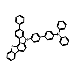 c1ccc(-c2ccc3c4c5sc6ccccc6c5ccc4n(-c4ccc(-c5ccc(N(c6ccccc6)c6ccccc6)cc5)cc4)c3c2)cc1